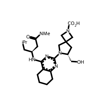 CNC(=O)C[C@H](CC(C)C)Nc1nc(N2CC3(C[C@@H]2CO)CN(C(=O)O)C3)nc2c1CCCC2